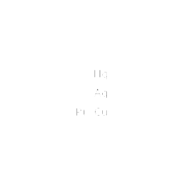 [Ag].[Cu].[Hg].[Pt]